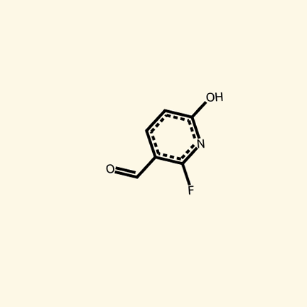 O=Cc1ccc(O)nc1F